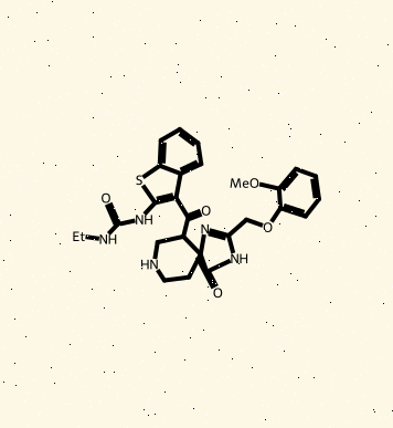 CCNC(=O)Nc1sc2ccccc2c1C(=O)C1CNCCC12N=C(COc1ccccc1OC)NC2=O